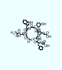 N=C(N)NCCC[C@@H]1NC(=O)[C@H](Cc2c[nH]c3ccccc23)NC(=O)[C@@H](C[C@H]2CC[C@@H](O)CC2)NC(=O)[C@@H]2C[C@@H](OCC(=O)O)CN2C(=O)[C@@H](NC(=O)[C@H](Cc2ccccc2)NCC(=O)O)CCCNC1=O